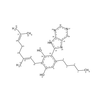 CCCCCc1cc(O)c(C/C=C(\C)CCC=C(C)C)c(O)c1-c1nc2cncnc2[nH]1